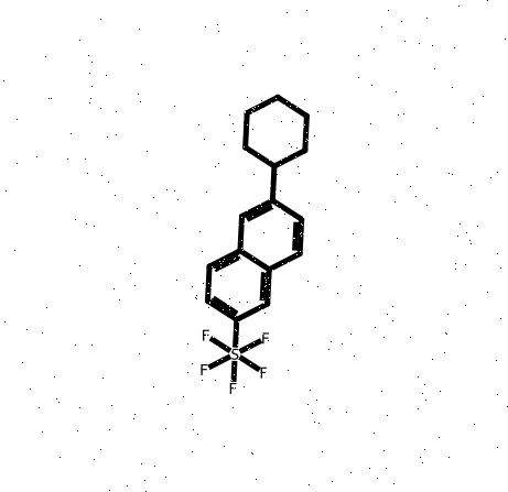 FS(F)(F)(F)(F)c1ccc2cc(C3CCCCC3)ccc2c1